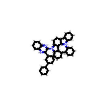 c1ccc(-c2cccc(-c3nc4ccccc4nc3-n3c4cccc5c6ccccc6n6c7ccccc7c7ccc3c(c54)c76)c2)cc1